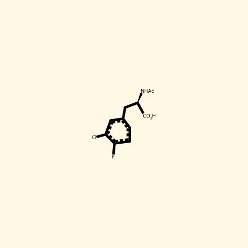 CC(=O)N[C@H](Cc1ccc(F)c(Cl)c1)C(=O)O